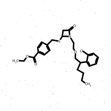 CCCCC(COCCN1C(=O)CC1SCc1ccc(C(=O)OCC)cc1)c1ccccc1Cl